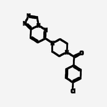 O=C(c1ccc(Cl)cc1)N1CCN(c2ccc3nncn3n2)CC1